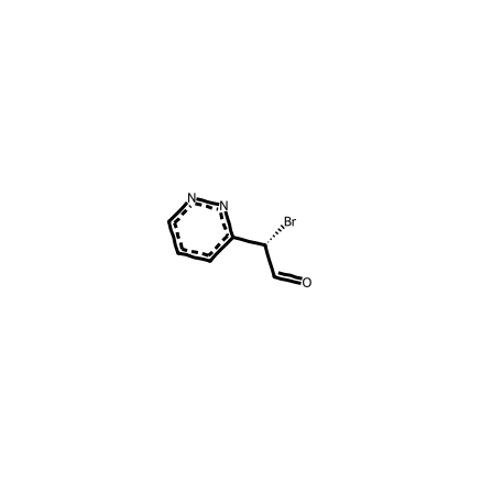 O=C[C@@H](Br)c1cccnn1